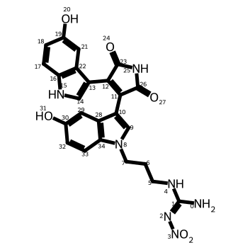 NC(=N[N+](=O)[O-])NCCCn1cc(C2=C(c3c[nH]c4ccc(O)cc34)C(=O)NC2=O)c2cc(O)ccc21